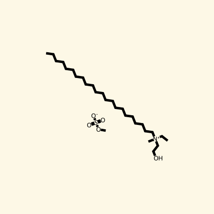 CCCCCCCCCCCCCCCCCCCCCC[N+](C)(CC)CCO.COS(=O)(=O)[O-]